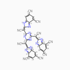 N#CC(=C1N=c2cc(C#N)cc(C#N)c2=N1)c1nc(C(C#N)=C2N=c3cc(C#N)cc(C#N)c3=N2)nc(C(C#N)=C2N=c3cc(C#N)cc(C#N)c3=N2)n1